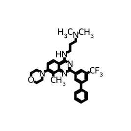 Cc1c(N2CCOCC2)ccc2c(NCCCN(C)C)nc(-c3cc(-c4ccccc4)cc(C(F)(F)F)c3)nc12